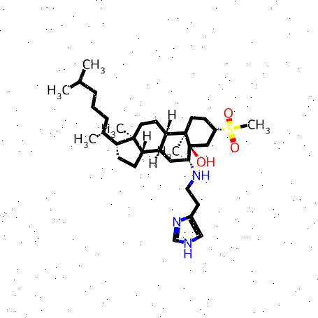 CC(C)CCC[C@@H](C)[C@H]1CC[C@H]2[C@@H]3C[C@@H](NCCc4c[nH]cn4)[C@@]4(O)C[C@@H](S(C)(=O)=O)CC[C@]4(C)[C@H]3CC[C@]12C